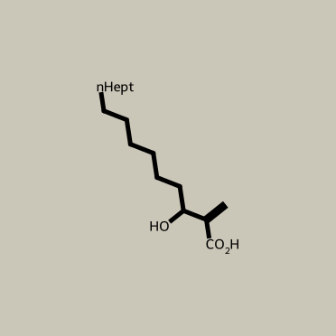 C=C(C(=O)O)C(O)CCCCCCCCCCCCC